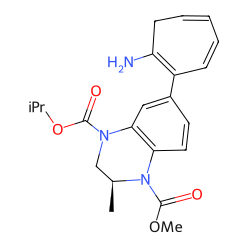 COC(=O)N1c2ccc(C3=C(N)CC=CC=C3)cc2N(C(=O)OC(C)C)C[C@@H]1C